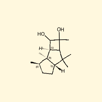 C[C@@H]1CC[C@H]2C(C)(C)C3[C@H](C(O)C3(C)O)[C@]12C